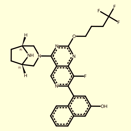 Oc1cc(-c2ncc3c(N4C[C@H]5CC[C@@H](C4)N5)nc(OCCCC(F)(F)F)nc3c2F)c2ccccc2c1